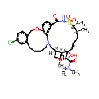 CO[C@@H](C(=O)N(C)C)[C@@]1(O)/C=C/C[C@H](C)[C@@H](C)S(=O)(=O)NC(=O)c2ccc3c(c2)N(CCCCc2cc(Cl)ccc2CO3)C[C@@H]2CC[C@H]21